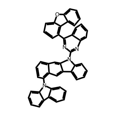 c1cc(-n2c3ccccc3c3ccccc32)c2cc3c4ccccc4n(-c4nc(-c5cccc6oc7ccccc7c56)c5ccccc5n4)c3cc2c1